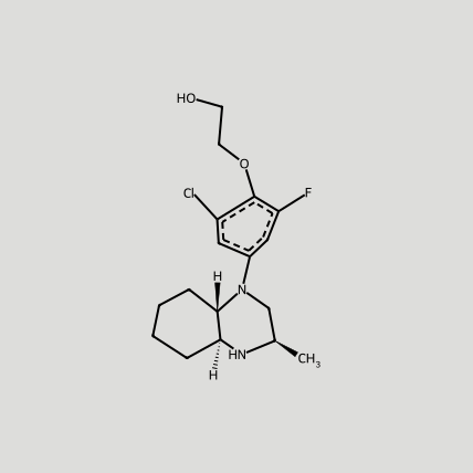 C[C@@H]1CN(c2cc(F)c(OCCO)c(Cl)c2)[C@H]2CCCC[C@@H]2N1